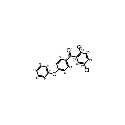 O=C(c1ccc(Oc2ccccc2)cc1)c1cc(Cl)ccc1Cl